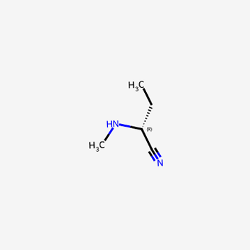 CC[C@H](C#N)NC